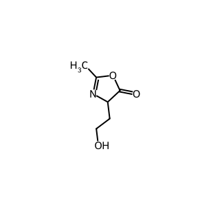 CC1=NC(CCO)C(=O)O1